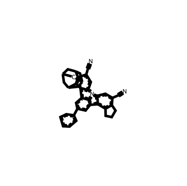 N#Cc1cc2c(c3c1CCC3)c1cc(-c3ccccc3)cc3c4c5c(c(C#N)cc4n2c13)C1CC2CC(C1)CC5C2